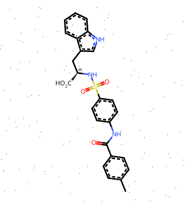 Cc1ccc(C(=O)Nc2ccc(S(=O)(=O)N[C@H](Cc3c[nH]c4ccccc34)C(=O)O)cc2)cc1